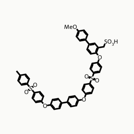 COc1ccc(-c2ccc(Oc3ccc(S(=O)(=O)c4ccc(Oc5ccc(-c6ccc(Oc7ccc(S(=O)(=O)c8ccc(C)cc8)cc7)cc6)cc5)cc4)cc3)c(CS(=O)(=O)O)c2)cc1